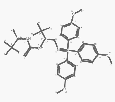 C=C(N[C@H](C)C(C)(C)C)N[C@H](CN=P(c1ccc(OC)cc1)(c1ccc(OC)cc1)c1ccc(OC)cc1)C(C)(C)C